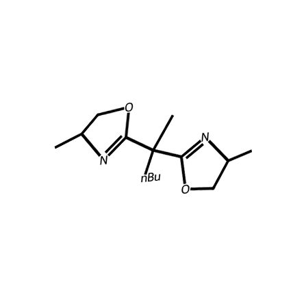 CCCCC(C)(C1=NC(C)CO1)C1=NC(C)CO1